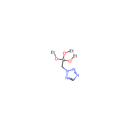 CCO[Si](Cn1ncnn1)(OCC)OCC